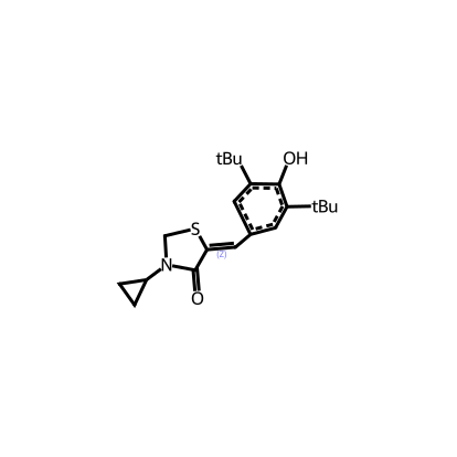 CC(C)(C)c1cc(/C=C2\SCN(C3CC3)C2=O)cc(C(C)(C)C)c1O